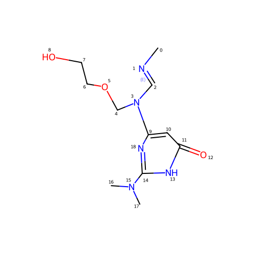 C/N=C/N(COCCO)c1cc(=O)[nH]c(N(C)C)n1